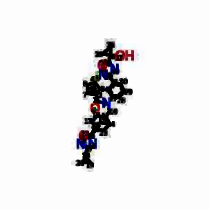 O=C(C1CC2(F)CC1C2)N(CC12CCC(c3nc(C4CC4)no3)(CC1)CC2)c1cccc(-c2noc(C3(O)CC3)n2)c1